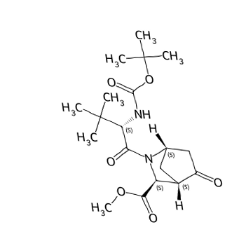 COC(=O)[C@@H]1[C@@H]2C[C@@H](CC2=O)N1C(=O)[C@@H](NC(=O)OC(C)(C)C)C(C)(C)C